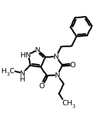 CCCn1c(=O)c2c(NC)[nH]nc2n(CCc2ccccc2)c1=O